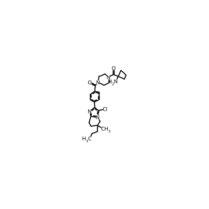 CCCC1(C)CCc2nc(-c3ccc(C(=O)N4CCN(C(=O)C5(N)CCC5)CC4)cc3)c(Cl)n2C1